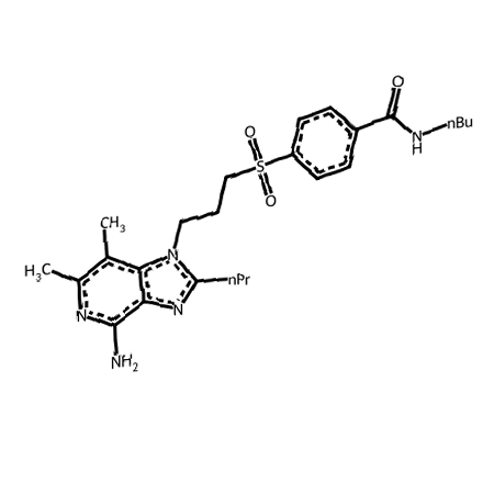 CCCCNC(=O)c1ccc(S(=O)(=O)CCCn2c(CCC)nc3c(N)nc(C)c(C)c32)cc1